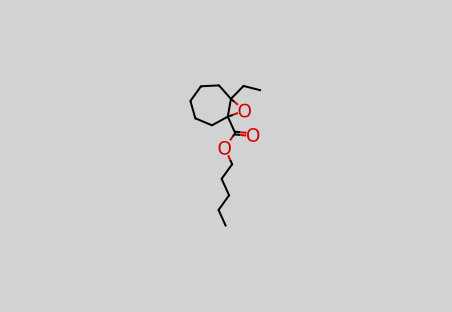 CCCCCOC(=O)C12CCCCCC1(CC)O2